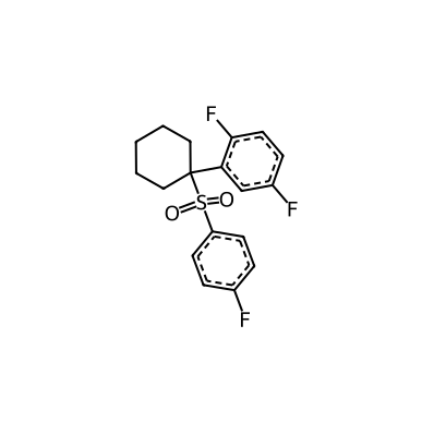 O=S(=O)(c1ccc(F)cc1)C1(c2cc(F)ccc2F)CCCCC1